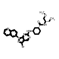 CC[C@@H](COC)NC(=O)[C@@H]1CCC[C@@H](Nc2ncc3c(Br)nn(-c4ccc5ncccc5c4)c3n2)C1